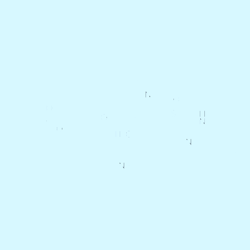 Cc1c(OCC2COC3(CCCCC3)OC2)ccnc1C[S+]([O-])c1nc2ccccc2[nH]1.[Na]